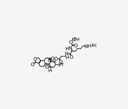 CC(=O)NCCCC[C@H](NC(=O)OC(C)(C)C)C(=O)NCCC(=O)O[C@@H]1C(C(C)C)C[C@@H]2O[C@]23[C@]12O[C@H]2CC1C2=C(CC[C@@]13C)C(=O)OC2